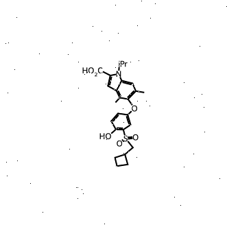 Cc1cc2c(cc(C(=O)O)n2C(C)C)c(C)c1Oc1ccc(O)c(S(=O)(=O)CC2CCC2)c1